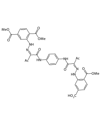 COC(=O)c1ccc(C(=O)OC)c(N/N=C(/C(C)=O)C(=O)Nc2ccc(NC(=O)/C(=N\Nc3cc(C(=O)O)ccc3C(=O)OC)C(C)=O)cc2)c1